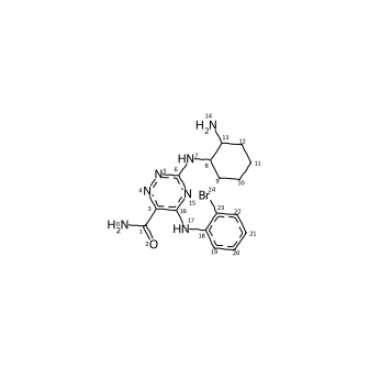 NC(=O)c1nnc(NC2CCCCC2N)nc1Nc1ccccc1Br